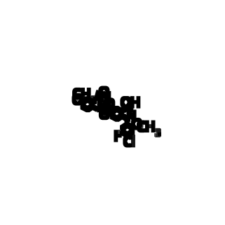 COc1ccc(CN(c2ccon2)S(=O)(=O)c2ccc3c(-c4cc(F)c(Cl)cc4OC)ncc(O)c3c2)cc1